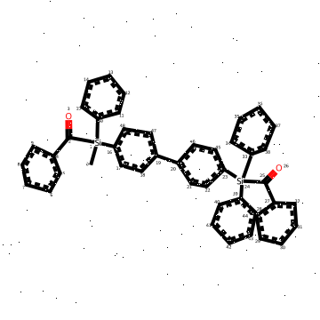 C[Si](C(=O)c1ccccc1)(c1ccccc1)c1ccc(-c2ccc([Si](C(=O)c3ccccc3)(c3ccccc3)c3ccccc3)cc2)cc1